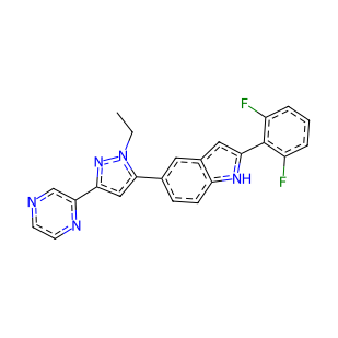 CCn1nc(-c2cnccn2)cc1-c1ccc2[nH]c(-c3c(F)cccc3F)cc2c1